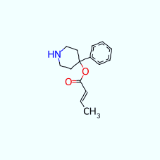 C/C=C/C(=O)OC1(c2ccccc2)CCNCC1